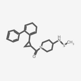 CSNC1CCN(C(=O)C2CC2C2=CCCC=C2c2ccccc2)CC1